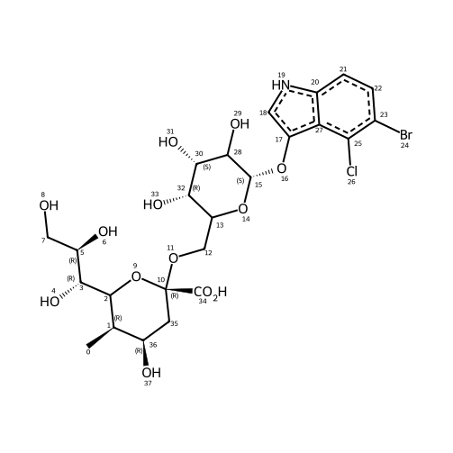 C[C@H]1C([C@H](O)[C@H](O)CO)O[C@@](OCC2O[C@@H](Oc3c[nH]c4ccc(Br)c(Cl)c34)C(O)[C@@H](O)[C@H]2O)(C(=O)O)C[C@H]1O